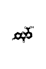 O=C(O)c1cccn2c(=O)c3cc(F)ccc3nc12